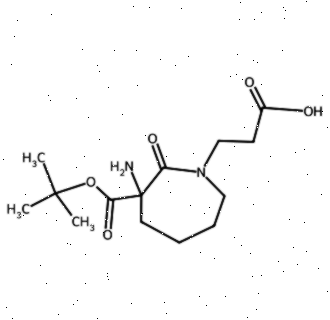 CC(C)(C)OC(=O)C1(N)CCCCN(CCC(=O)O)C1=O